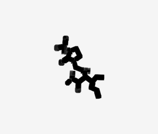 C=C/C=C(\C=C)C(NCN1CCN([SH](=O)=O)C1=O)C(=O)NC